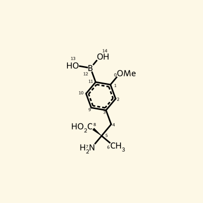 COc1cc(C[C@](C)(N)C(=O)O)ccc1B(O)O